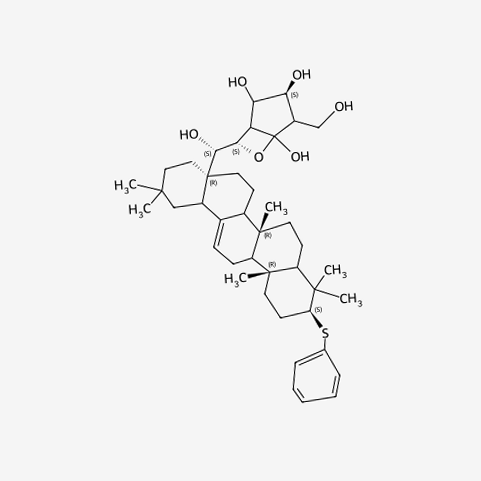 CC1(C)CC[C@]2([C@H](O)[C@H]3OC4(O)C(CO)[C@H](O)C(O)C34)CCC3C(=CCC4[C@@]3(C)CCC3C(C)(C)[C@@H](Sc5ccccc5)CC[C@@]34C)C2C1